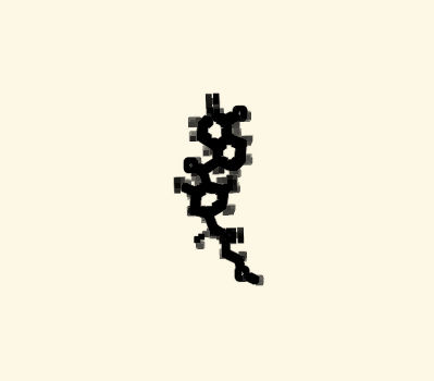 COCCN[C@H](C)c1cc(F)c(C(=O)c2cccc3c(=O)[nH]ccc23)c(F)c1